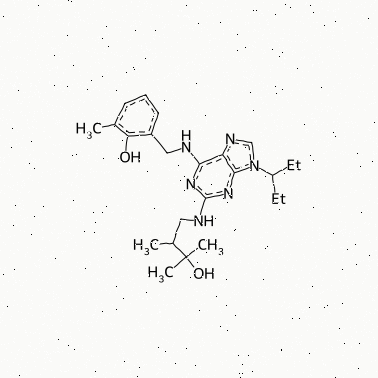 CCC(CC)n1cnc2c(NCc3cccc(C)c3O)nc(NCC(C)C(C)(C)O)nc21